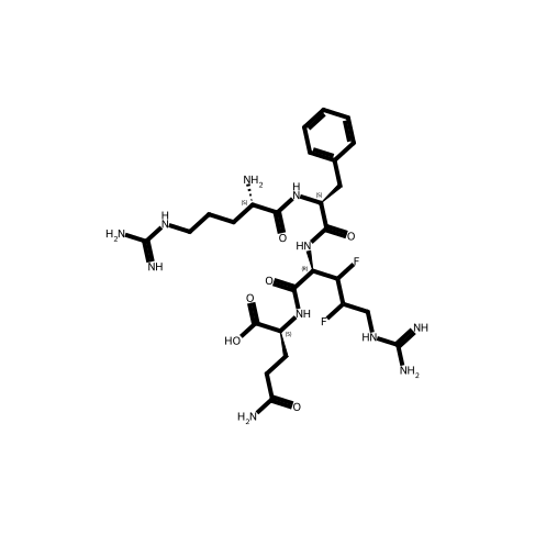 N=C(N)NCCC[C@H](N)C(=O)N[C@@H](Cc1ccccc1)C(=O)N[C@H](C(=O)N[C@@H](CCC(N)=O)C(=O)O)C(F)C(F)CNC(=N)N